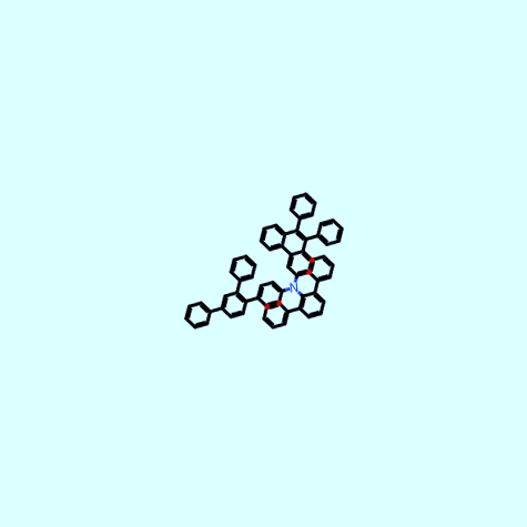 c1ccc(-c2ccc(-c3ccc(N(c4ccc5c(-c6ccccc6)c(-c6ccccc6)c6ccccc6c5c4)c4c(-c5ccccc5)cccc4-c4ccccc4)cc3)c(-c3ccccc3)c2)cc1